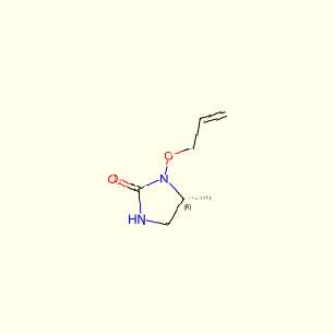 C=CCON1C(=O)NC[C@H]1C